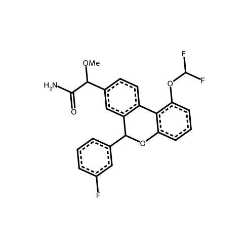 COC(C(N)=O)c1ccc2c(c1)C(c1cccc(F)c1)Oc1cccc(OC(F)F)c1-2